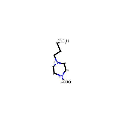 O=CN1CCN(CCCS(=O)(=O)O)CC1